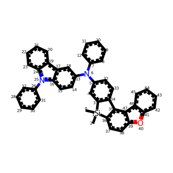 C[Si]1(C)c2cc(N(c3ccccc3)c3ccc4c(c3)c3ccccc3n4-c3ccccc3)ccc2-c2c1ccc1oc3ccccc3c21